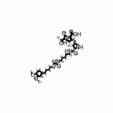 COc1ccc(CCCCOCC(=O)NCCCCCNC(=O)[C@@H]2C[C@H](SC3=C(C(=O)O)N4C(=O)[C@H]([C@@H](C)O)C4[C@H]3C)CN2)cc1OC